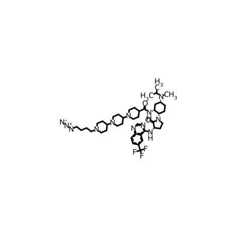 CC(C)N(C)[C@@H]1CC[C@H](N2CC[C@H](Nc3ncnc4ccc(C(F)(F)F)cc34)C2=O)[C@H](NC(=O)C2CCN(C3CCN(C4CCN(CCCCN=[N+]=[N-])CC4)CC3)CC2)C1